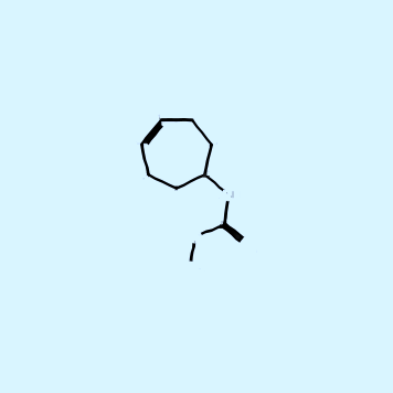 CC(C)(C)OC(=O)NC1CCC=CCC1